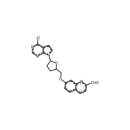 O=Cc1ccc2ccc(OCC3CCC(n4ccc5c(Cl)ncnc54)O3)cc2n1